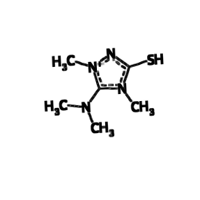 CN(C)c1n(C)c(S)n[n+]1C